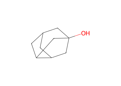 OC12CC3CC(C1)C(C3)C2